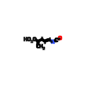 C=C(CC=CN=C=O)C(=O)O